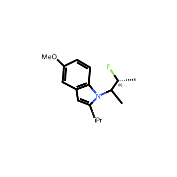 COc1ccc2c(c1)cc(C(C)C)n2C(C)[C@@H](C)F